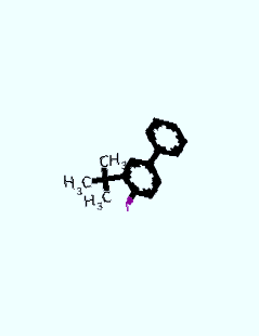 CC(C)(C)c1cc(-c2ccccc2)ccc1I